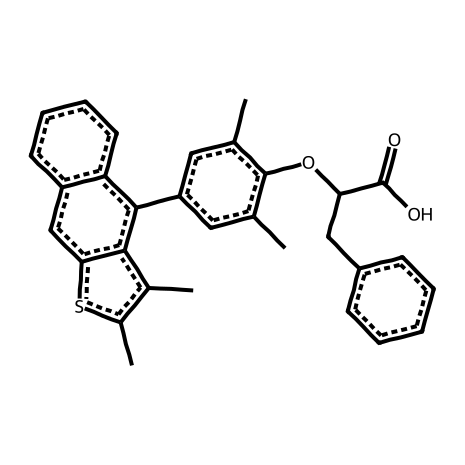 Cc1cc(-c2c3ccccc3cc3sc(C)c(C)c23)cc(C)c1OC(Cc1ccccc1)C(=O)O